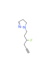 C#CCC(F)CCN1CCC=N1